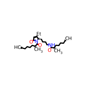 C#CCCCC[C@@H](C)C(=O)NCCCC[C@@H]1C(CC)=CC(=O)N1C(=O)[C@H](C)CCCCC#C